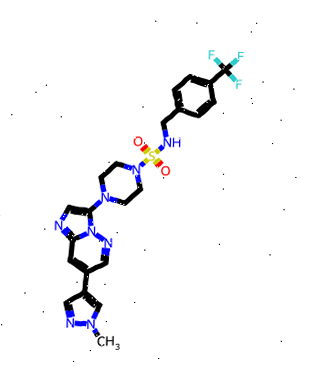 Cn1cc(-c2cnn3c(N4CCN(S(=O)(=O)NCc5ccc(C(F)(F)F)cc5)CC4)cnc3c2)cn1